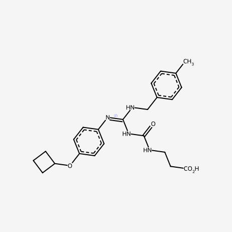 Cc1ccc(CN/C(=N/c2ccc(OC3CCC3)cc2)NC(=O)NCCC(=O)O)cc1